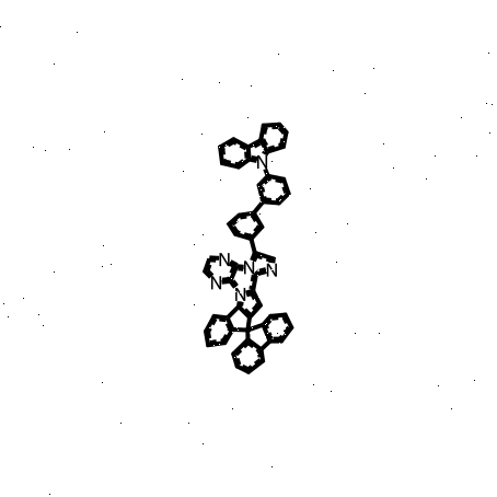 c1cc(-c2cccc(-n3c4ccccc4c4ccccc43)c2)cc(-c2cnc3c4cc5c(n4c4nccnc4n23)-c2ccccc2C52c3ccccc3-c3ccccc32)c1